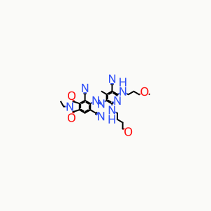 CCN1C(=O)c2cc(C#N)c(/N=N/c3c(NCCCC=O)nc(NCCCOC)c(C#N)c3C)c(C#N)c2C1=O